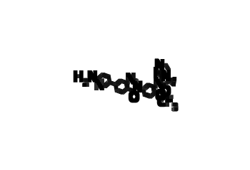 CN1CCN(C2(C(=O)Nc3cc(-n4cnc5cc(-c6ccc(N)nc6)ccc5c4=O)ccc3OC(F)(F)F)CC2)CC1